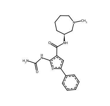 CN1CCCC[C@H](NC(=O)c2cc(-c3ccccc3)sc2NC(N)=O)C1